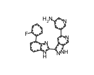 Nc1cncc(-c2cc3c(-c4nc5c(-c6ccccc6F)cccc5[nH]4)n[nH]c3cn2)c1